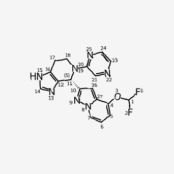 FC(F)Oc1cccn2nc([C@@H]3c4nc[nH]c4CCN3c3cnccn3)cc12